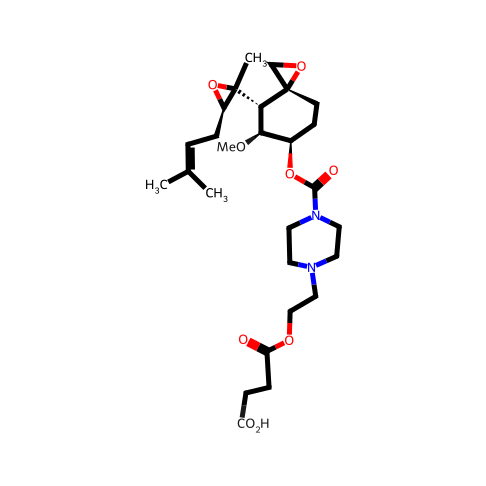 CO[C@H]1[C@H](C2(C)O[C@@H]2CC=C(C)C)[C@]2(CC[C@H]1OC(=O)N1CCN(CCOC(=O)CCC(=O)O)CC1)CO2